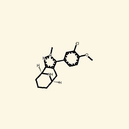 COc1ccc(-c2c3c(nn2C)[C@@H]2CCC[C@H](C3)N2)cc1Cl